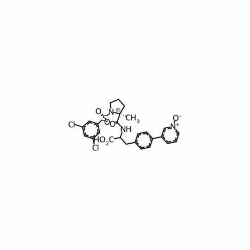 C[C@@]1(C(=O)NC(Cc2ccc(-c3ccc[n+]([O-])c3)cc2)C(=O)O)CCCN1S(=O)(=O)c1cc(Cl)cc(Cl)c1